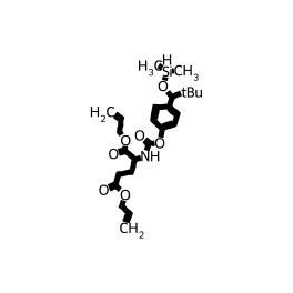 C=CCOC(=O)CCC(NC(=O)Oc1ccc(C(O[SiH](C)C)C(C)(C)C)cc1)C(=O)OCC=C